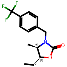 CC[C@H]1OC(=O)N(Cc2ccc(C(F)(F)F)cc2)[C@@H]1C